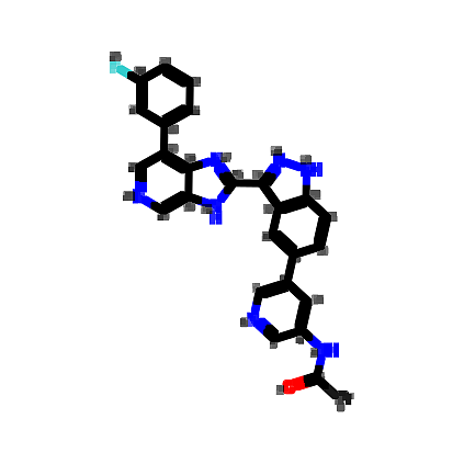 CC(C)C(=O)Nc1cncc(-c2ccc3[nH]nc(-c4nc5c(-c6cccc(F)c6)cncc5[nH]4)c3c2)c1